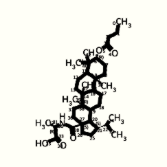 CCCC(=O)O[C@@H]1CC[C@@]2(C)C(CC[C@]3(C)C2CCC2C4[C@H](C(C)C)CC[C@]4(C(=O)N[C@H](C)C(=O)O)CC[C@]23C)C1(C)C